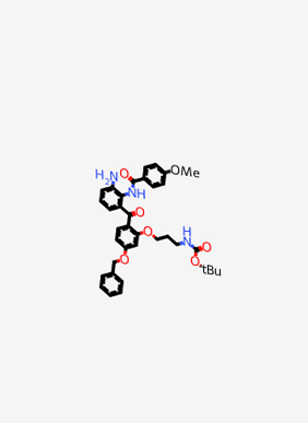 COc1ccc(C(=O)Nc2c(N)cccc2C(=O)c2ccc(OCc3ccccc3)cc2OCCCNC(=O)OC(C)(C)C)cc1